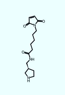 O=C(CCCCCN1C(=O)C=CC1=O)NC[C@H]1CCNC1